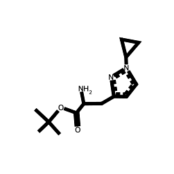 CC(C)(C)OC(=O)C(N)Cc1ccn(C2CC2)n1